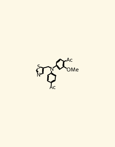 COc1cc(N(Cc2cncs2)c2ccc(C(C)=O)cc2)ccc1C(C)=O